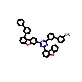 Cc1cccc(-c2cccc(-c3nc(-c4ccc5c(c4)oc4cccc(-c6cccc(-c7ccccc7)c6)c45)nc(-c4cccc5oc6ccccc6c45)n3)c2)c1